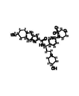 CC(C)(C)[C@H]1CCc2nc3sc(C(=O)N[C@H](CCN4CCC(O)CC4)c4ccc(N5CCOCS5(=O)=O)nc4)nc3cc2C1